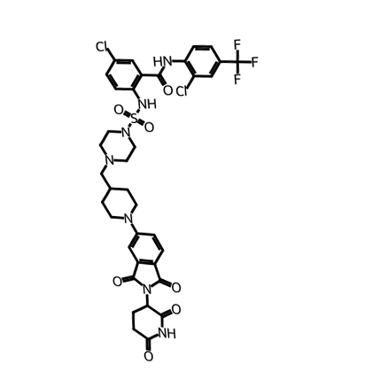 O=C1CCC(N2C(=O)c3ccc(N4CCC(CN5CCN(S(=O)(=O)Nc6ccc(Cl)cc6C(=O)Nc6ccc(C(F)(F)F)cc6Cl)CC5)CC4)cc3C2=O)C(=O)N1